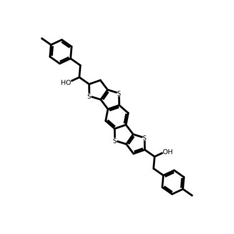 Cc1ccc(CC(O)c2cc3sc4cc5c6c(sc5cc4c3s2)CC(C(O)Cc2ccc(C)cc2)S6)cc1